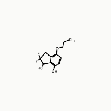 CCCOc1ccc(O)c2c1CC(F)(F)C2O